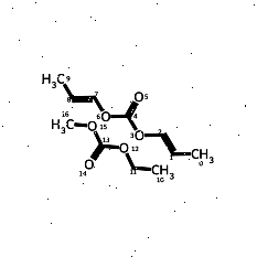 CC=COC(=O)OC=CC.CCOC(=O)OC